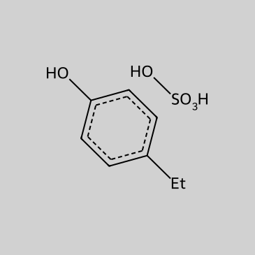 CCc1ccc(O)cc1.O=S(=O)(O)O